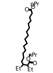 CCCOC(=O)CCCCCCCCCCCCCCC(CC)C(CC)C(=O)OCCC